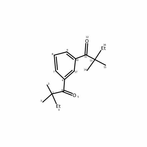 CCC(C)(C)C(=O)c1cccc(C(=O)C(C)(C)CC)c1